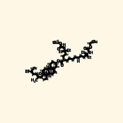 CC[C@H](CC[C@@H](C)[C@H]1CC[C@H]2[C@@H]3CC=C4C[C@@H](OC(=O)N(CCCCNCCC(CC)(CC)NC(=O)OCC(C)(C)C)CCC(CC)(CC)NC(=O)OC(C)(C)C)CC[C@]4(C)[C@H]3CC[C@]12C)C(C)C